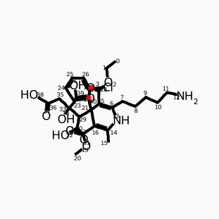 CCOC(=O)C1=C(CCCCCN)NC(C)=C(C(=O)OC)C1(c1ccccc1Cl)C(C(=O)O)C(O)(CC(=O)O)C(=O)O